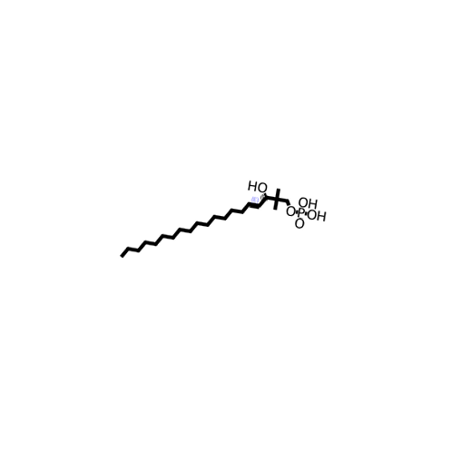 CCCCCCCCCCCCCCC/C=C/[C@@H](O)C(C)(C)COP(=O)(O)O